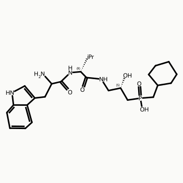 CC(C)[C@@H](NC(=O)C(N)Cc1c[nH]c2ccccc12)C(=O)NC[C@H](O)CP(=O)(O)CC1CCCCC1